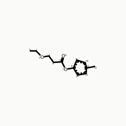 CCOCCC(=O)Oc1ccc(C)cc1